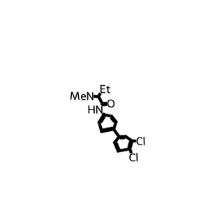 CCC(NC)C(=O)Nc1ccc(-c2ccc(Cl)c(Cl)c2)cc1